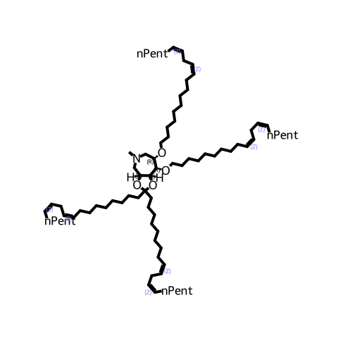 CCCCC/C=C\C/C=C\CCCCCCCCCO[C@H]1[C@@H]2OC(CCCCCCCC/C=C\C/C=C\CCCCC)(CCCCCCCC/C=C\C/C=C\CCCCC)O[C@@H]2CN(C)C[C@H]1OCCCCCCCCC/C=C\C/C=C\CCCCC